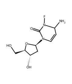 NC1C=CN([C@H]2C[C@H](O)[C@@H](CO)O2)C(=O)N1F